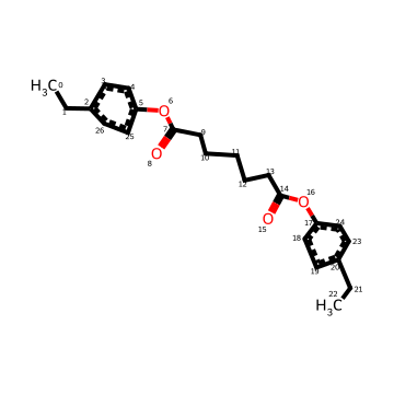 CCc1ccc(OC(=O)CCCCCC(=O)Oc2ccc(CC)cc2)cc1